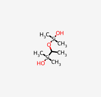 CC(O[Si](C)(C)O)[Si](C)(C)O